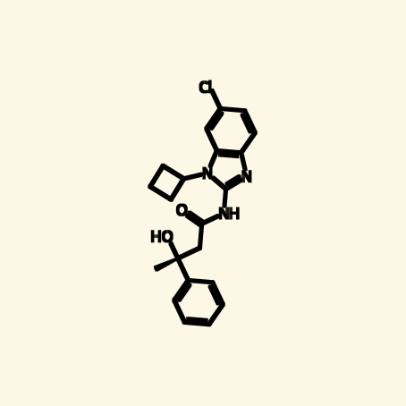 C[C@@](O)(CC(=O)Nc1nc2ccc(Cl)cc2n1C1CCC1)c1ccccc1